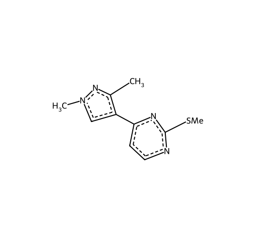 CSc1nccc(-c2cn(C)nc2C)n1